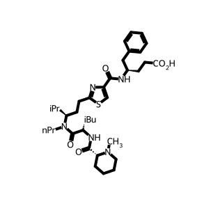 CCCN(C(=O)C(NC(=O)[C@H]1CCCCN1C)[C@@H](C)CC)[C@H](CCc1nc(C(=O)N[C@H](CCC(=O)O)Cc2ccccc2)cs1)C(C)C